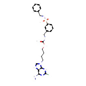 CNc1nc(Cl)nc2c1ncn2CCCCOC(=O)NCc1cccc(S(=O)(=O)NCc2ccccc2)c1